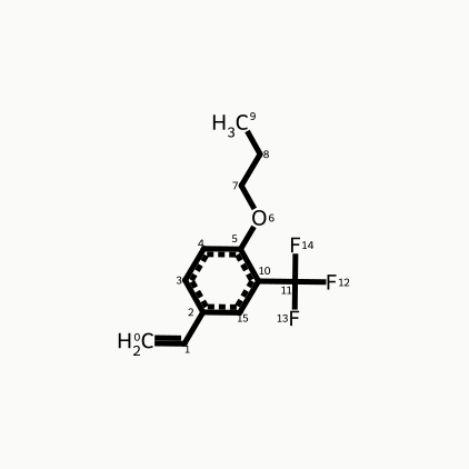 C=Cc1ccc(OCCC)c(C(F)(F)F)c1